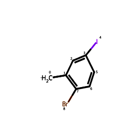 [CH2]c1cc(I)ccc1Br